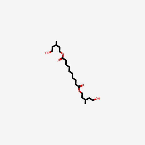 CC(CCO)CCOC(=O)CCCCCCCCC(=O)OCCC(C)CCO